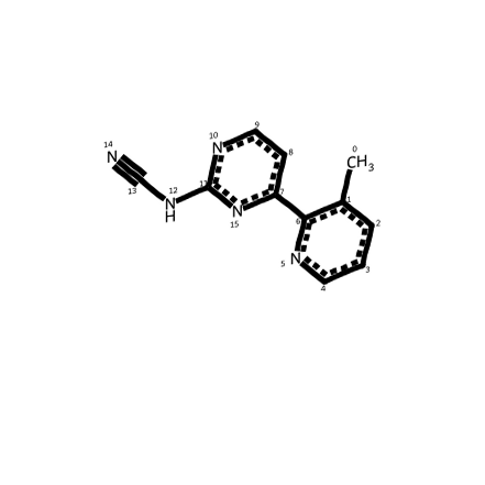 Cc1cccnc1-c1ccnc(NC#N)n1